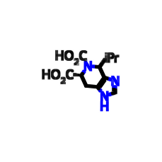 CC(C)C1c2nc[nH]c2C[C@@H](C(=O)O)N1C(=O)O